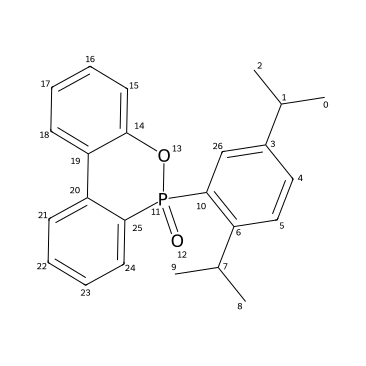 CC(C)c1ccc(C(C)C)c(P2(=O)Oc3ccccc3-c3ccccc32)c1